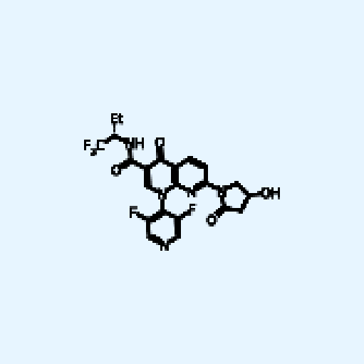 CC[C@H](NC(=O)c1cn(-c2c(F)cncc2F)c2nc(N3C[C@@H](O)CC3=O)ccc2c1=O)C(F)(F)F